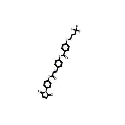 O=C(/C=C/c1ccc(OC(=O)c2ccc(OCCCC(F)(F)F)cc2)cc1)Oc1ccc(N2C(=O)C=CC2=O)cc1